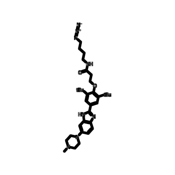 CN1CCN(c2ccc3nc(-c4cc(C(C)(C)C)c(OCCC(=O)NCCCCN=[N+]=[N-])c(C(C)(C)C)c4)[nH]c3c2)CC1